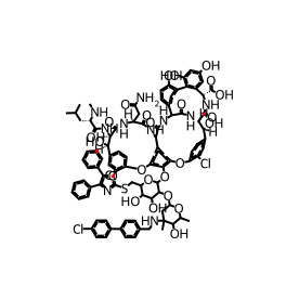 CN[C@@H](CC(C)C)C(=O)N[C@H]1C(=O)N[C@@H](CC(N)=O)C(=O)NC2C(=O)NC3C(=O)N[C@H](C(=O)N[C@@H](C(=O)O)c4cc(O)cc(O)c4-c4cc3ccc4O)[C@H](O)c3ccc(c(Cl)c3)Oc3cc2cc(c3OC2OC(CSc3nc(-c4ccccc4)c(-c4ccccc4)o3)C(O)C(O)C2OC2CC(C)(NCc3ccc(-c4ccc(Cl)cc4)cc3)C(O)C(C)O2)Oc2ccc(cc2Cl)[C@H]1O